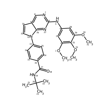 COc1cc(Nc2ncc3ccn(-c4ccc(C(=O)NC(C)(C)C)cc4)c3n2)cc(OC)c1OC